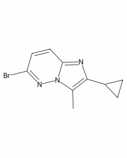 Cc1c(C2CC2)nc2ccc(Br)nn12